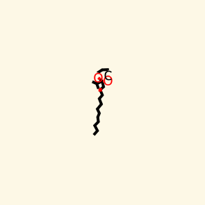 CCCCCCCCCCCCC1(C(C)C)OCCCCO1